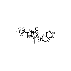 O=c1cc(CN2CCc3ccccc3C2)[nH]c2nc(-c3cccs3)nn12